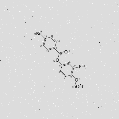 CCCCCCCCOc1ccc(OC(=O)c2ccc(CCCC)cc2)cc1F